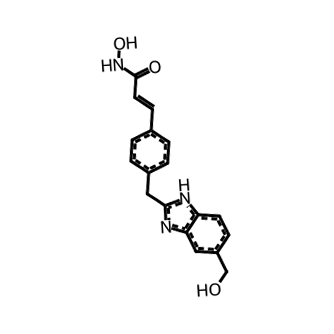 O=C(/C=C/c1ccc(Cc2nc3cc(CO)ccc3[nH]2)cc1)NO